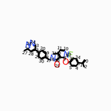 C=C(C)c1ccc(Oc2nccc3c2C(=O)N(Cc2ccc(-c4cnnc(C)c4)cc2)C3)c(F)c1